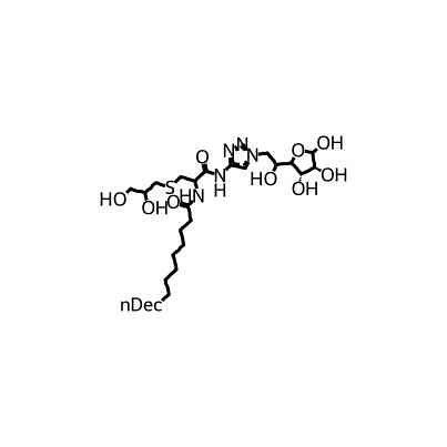 CCCCCCCCCCCCCCCCCC(=O)NC(CSCC(O)CO)C(=O)Nc1cn(CC(O)C2OC(O)[C@@H](O)[C@@H]2O)nn1